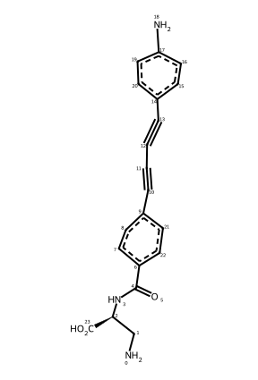 NC[C@H](NC(=O)c1ccc(C#CC#Cc2ccc(N)cc2)cc1)C(=O)O